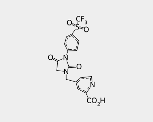 O=C(O)c1cc(CN2CC(=O)N(c3ccc(S(=O)(=O)C(F)(F)F)cc3)C2=O)ccn1